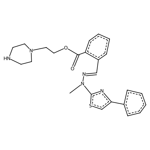 CN(/N=C/c1ccccc1C(=O)OCCN1CCNCC1)c1nc(-c2ccccc2)cs1